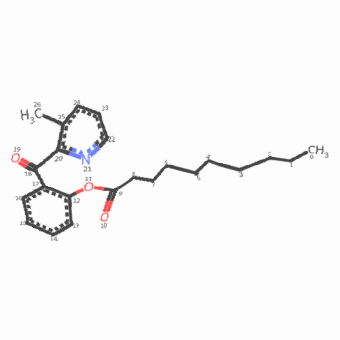 CCCCCCCCCC(=O)Oc1ccccc1C(=O)c1ncccc1C